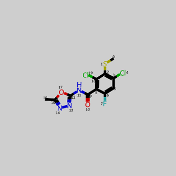 CSc1c(Cl)cc(F)c(C(=O)Nc2nnc(C)o2)c1Cl